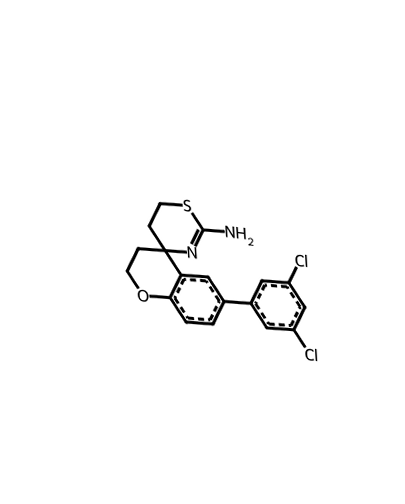 NC1=NC2(CCOc3ccc(-c4cc(Cl)cc(Cl)c4)cc32)CCS1